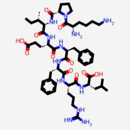 CC[C@H](C)[C@H](NC(=O)[C@@H]1CCCN1C(=O)[C@@H](N)CCCCN)C(=O)N[C@@H](CCC(=O)O)C(=O)N[C@@H](Cc1ccccc1)C(=O)N[C@@H](Cc1ccccc1)C(=O)N[C@@H](CCCNC(=N)N)C(=O)N[C@@H](CC(C)C)C(=O)O